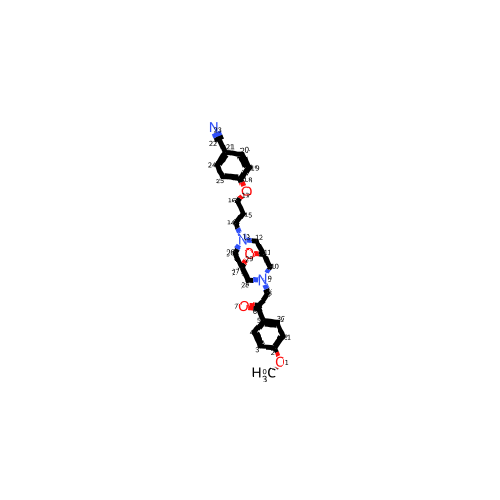 COc1ccc(C(=O)CN2CC3CN(CCCOc4ccc(C#N)cc4)CC(C2)O3)cc1